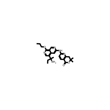 CCCOc1ncc(C(C)(N)CC)c2cc(Nc3ccc4c(n3)CC(C)(C)OC4=O)ncc12